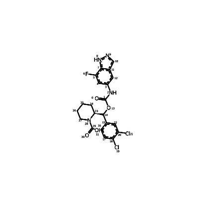 O=C(Nc1cc(F)c2[nH]ncc2c1)OC(c1ccc(Cl)c(Cl)c1)[C@@H]1CCCCN1C(=O)O